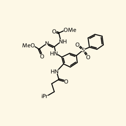 COC(=O)N=C(NC(=O)OC)Nc1cc(S(=O)(=O)c2ccccc2)ccc1NC(=O)CCC(C)C